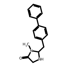 CN1C(=O)CNC1Cc1ccc(-c2ccccc2)cc1